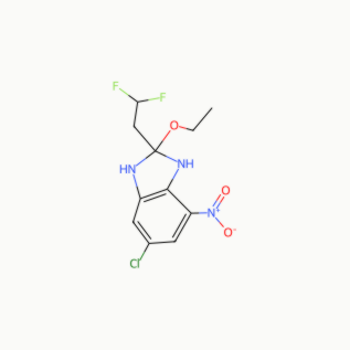 CCOC1(CC(F)F)Nc2cc(Cl)cc([N+](=O)[O-])c2N1